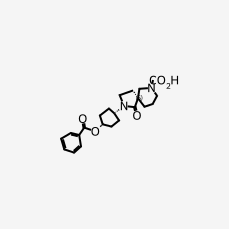 O=C(O[C@H]1CC[C@@H](N2CC[C@]3(CCCN(C(=O)O)C3)C2=O)CC1)c1ccccc1